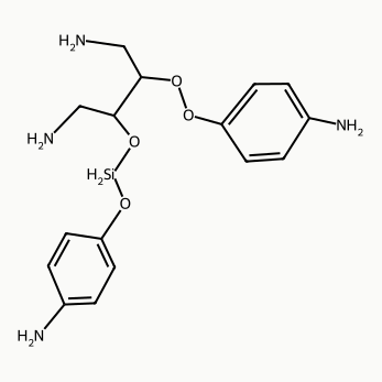 NCC(OOc1ccc(N)cc1)C(CN)O[SiH2]Oc1ccc(N)cc1